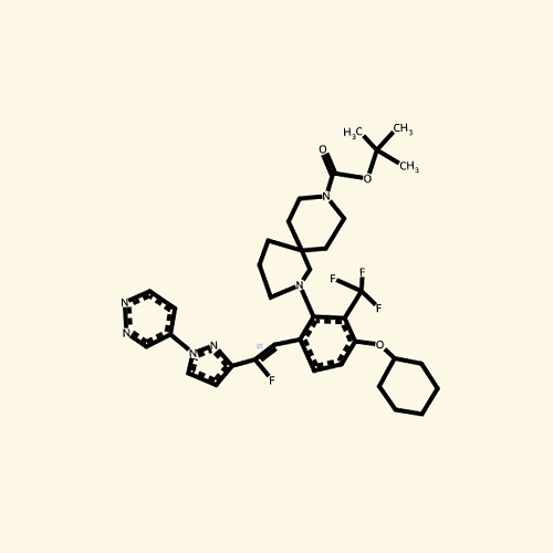 CC(C)(C)OC(=O)N1CCC2(CCCN(c3c(/C=C(\F)c4ccn(-c5ccnnc5)n4)ccc(OC4CCCCC4)c3C(F)(F)F)C2)CC1